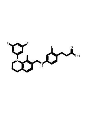 Cc1c(CNc2ccc(CCC(=O)O)c(F)c2)ccc2c1N(c1cc(F)cc(F)c1)CCC2